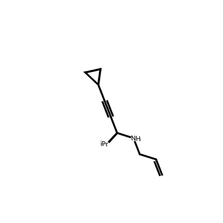 C=CCNC(C#CC1CC1)C(C)C